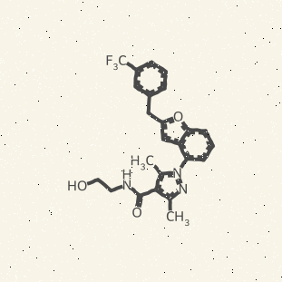 Cc1nn(-c2cccc3oc(Cc4cccc(C(F)(F)F)c4)cc23)c(C)c1C(=O)NCCO